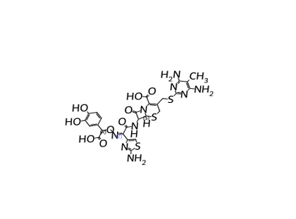 Cc1c(N)nc(SCC2=C(C(=O)O)N3C(=O)C(NC(=O)/C(=N\O[C@@H](C(=O)O)c4ccc(O)c(O)c4)c4csc(N)n4)[C@@H]3SC2)nc1N